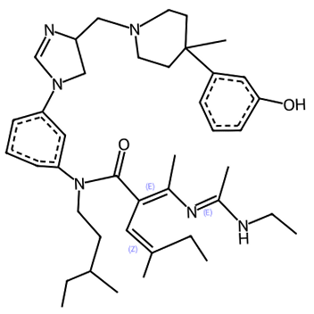 CCN/C(C)=N/C(C)=C(\C=C(\C)CC)C(=O)N(CCC(C)CC)c1cccc(N2C=NC(CN3CCC(C)(c4cccc(O)c4)CC3)C2)c1